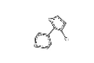 Clc1ccoc1-c1ccccc1